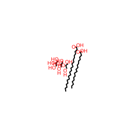 CCCCCCCCCCCCCCCCCC(=O)O.CCCCCCCCCCCCCCCCCCCCCC(=O)O.OCC(O)CO.OCC(O)CO.OCC(O)CO